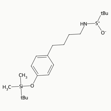 CC(C)(C)[S+]([O-])NCCCCc1ccc(O[Si](C)(C)C(C)(C)C)cc1